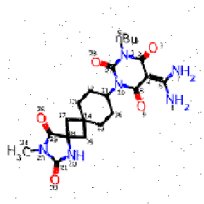 CCCCN1C(=O)C(=C(N)N)C(=O)N(C2CCC3(CC2)CC2(C3)NC(=O)N(C)C2=O)C1=O